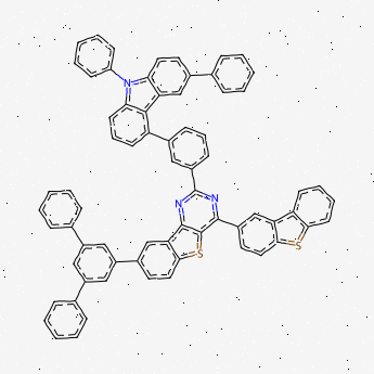 c1ccc(-c2cc(-c3ccccc3)cc(-c3ccc4sc5c(-c6ccc7sc8ccccc8c7c6)nc(-c6cccc(-c7cccc8c7c7cc(-c9ccccc9)ccc7n8-c7ccccc7)c6)nc5c4c3)c2)cc1